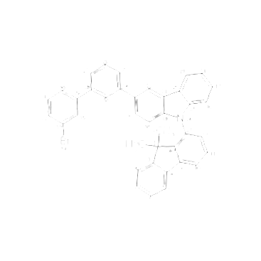 CC1(C)c2ccccc2-c2cccc(-n3c4ccccc4c4cc(-c5cccc(-c6cccc(Br)c6)c5)ccc43)c21